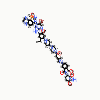 CCc1cc(Nc2ncc(Br)c(Nc3ccc4nccnc4c3P(C)(C)=O)n2)c(OC)cc1N1CCC(N2CCN(C(=O)CC3CN(c4ccc5c(c4)C(=O)N(C4CCC(=O)NC4=O)C5=O)C3)CC2)CC1